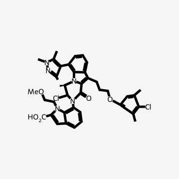 COCCn1c(C(=O)O)cc2cccc(N3C(=O)c4c(CCCOc5cc(C)c(Cl)c(C)c5)c5cccc(-c6c(C)nn(C)c6C)c5n4[C@H](C)C3Cl)c21